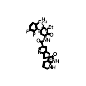 CCN1C(=O)[C@@H](NC(=O)c2cnc3c(c2)C[C@@]2(C3)C(=O)NC3=C2C=CCN3)C[C@@H](c2c(F)ccc(F)c2F)[C@H]1C